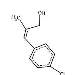 CC(=Cc1ccc(Cl)cc1)CO